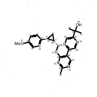 COc1ccc([C@H]2C[C@@H]2COc2nc(C)ncc2-c2cnc(C(C)(C)O)cn2)nc1